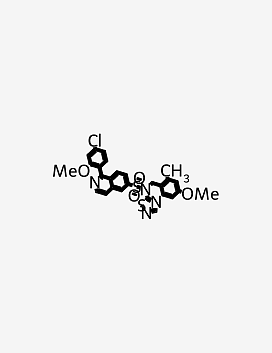 COc1ccc(CN(c2ncns2)S(=O)(=O)c2ccc3c(-c4ccc(Cl)cc4OC)nccc3c2)c(C)c1